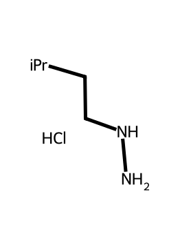 CC(C)CCNN.Cl